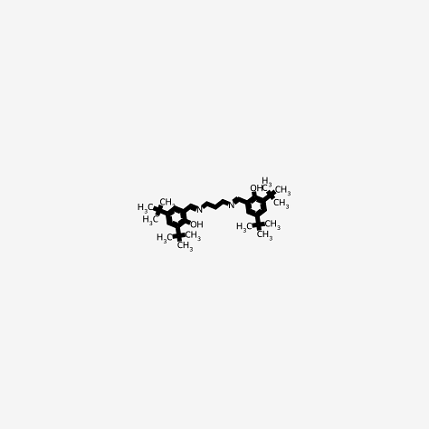 CC(C)(C)c1cc(C=NCCCN=Cc2cc(C(C)(C)C)cc(C(C)(C)C)c2O)c(O)c(C(C)(C)C)c1